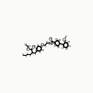 CCCCC(Cc1ccc(OCCNC(=O)c2ccc(-c3ccccc3OC)cc2)cc1)C(=O)OCC